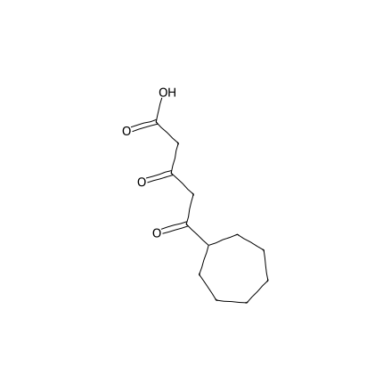 O=C(O)CC(=O)CC(=O)C1CCCCCC1